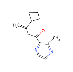 C=C(CC(=O)c1nccnc1C)C1CCC1